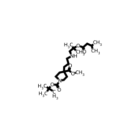 COC(=O)C1(CCCNCC(C)(C)OC(=O)CC(C)C)CCN(C(=O)OC(C)(C)C)CC1